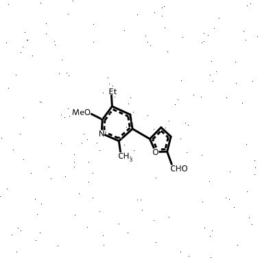 CCc1cc(-c2ccc(C=O)o2)c(C)nc1OC